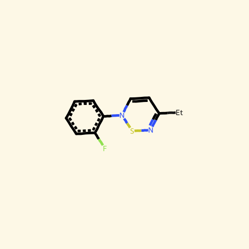 CCC1=NSN(c2ccccc2F)C=C1